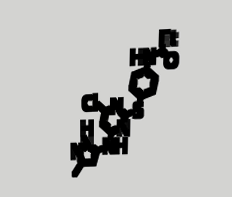 CCC(=O)Nc1ccc(Sc2nc(Cl)cc(Nc3cc(C)n[nH]3)n2)cc1